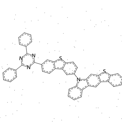 c1ccc(-c2nc(-c3ccccc3)nc(-c3ccc4c(c3)sc3ccc(-n5c6ccccc6c6cc7c(cc65)sc5ccccc57)cc34)n2)cc1